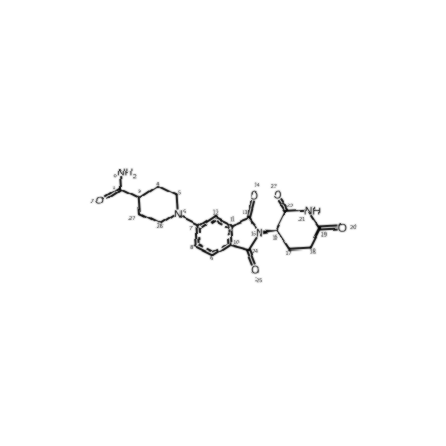 NC(=O)C1CCN(c2ccc3c(c2)C(=O)N([C@@H]2CCC(=O)NC2=O)C3=O)CC1